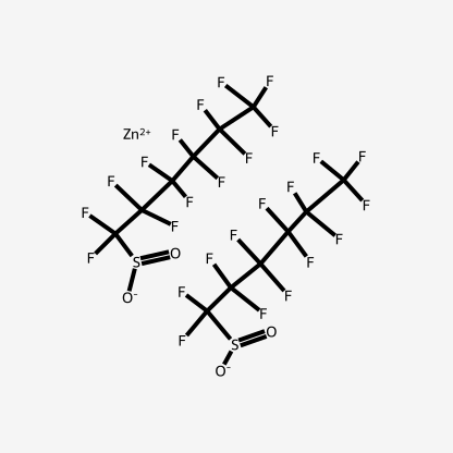 O=S([O-])C(F)(F)C(F)(F)C(F)(F)C(F)(F)C(F)(F)C(F)(F)F.O=S([O-])C(F)(F)C(F)(F)C(F)(F)C(F)(F)C(F)(F)C(F)(F)F.[Zn+2]